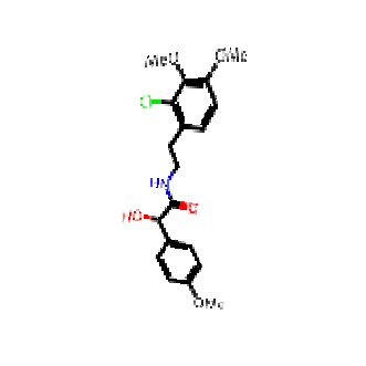 COc1ccc(C(O)C(=O)NCCc2ccc(OC)c(OC)c2Cl)cc1